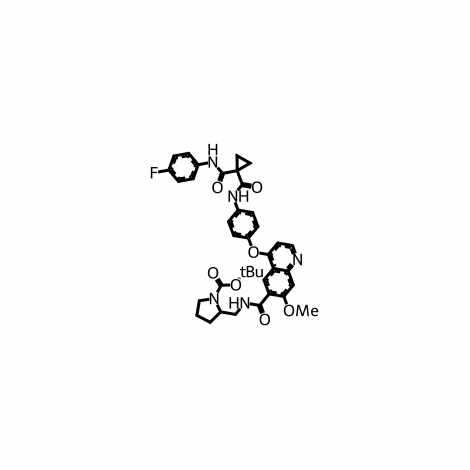 COc1cc2nccc(Oc3ccc(NC(=O)C4(C(=O)Nc5ccc(F)cc5)CC4)cc3)c2cc1C(=O)NCC1CCCN1C(=O)OC(C)(C)C